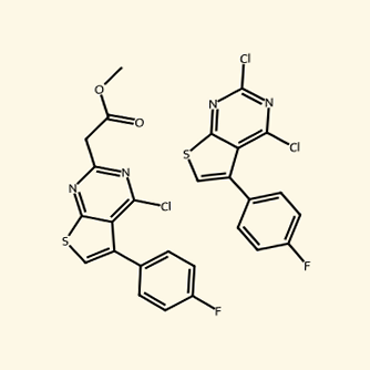 COC(=O)Cc1nc(Cl)c2c(-c3ccc(F)cc3)csc2n1.Fc1ccc(-c2csc3nc(Cl)nc(Cl)c23)cc1